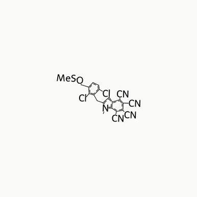 CSOCc1ccc(Cl)c(Cc2cc3c(C#N)c(C#N)c(C#N)c(C#N)c3n2C)c1Cl